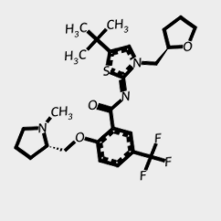 CN1CCC[C@H]1COc1ccc(C(F)(F)F)cc1C(=O)/N=c1\sc(C(C)(C)C)cn1C[C@H]1CCCO1